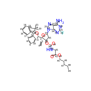 C#C[C@]1(CO[Si](c2ccccc2)(c2ccccc2)C(C)(C)C)O[C@@H](n2cnc3c(N)nc(F)nc32)C[C@@H]1OC(=O)NCC(=O)OCCCCC